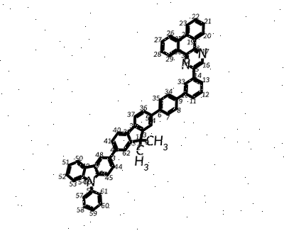 CC1(C)c2cc(-c3ccc(-c4cccc(-c5cnc6c7ccccc7c7ccccc7c6n5)c4)cc3)ccc2-c2ccc(-c3ccc4c(c3)c3ccccc3n4-c3ccccc3)cc21